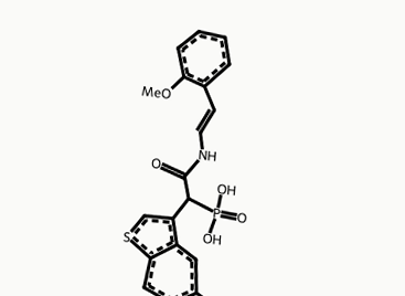 COc1ccccc1C=CNC(=O)C(c1csc2ccc(Cl)cc12)P(=O)(O)O